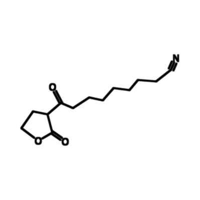 N#CCCCCCCCC(=O)C1CCOC1=O